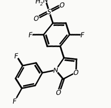 NS(=O)(=O)c1cc(F)c(-c2coc(=O)n2-c2cc(F)cc(F)c2)cc1F